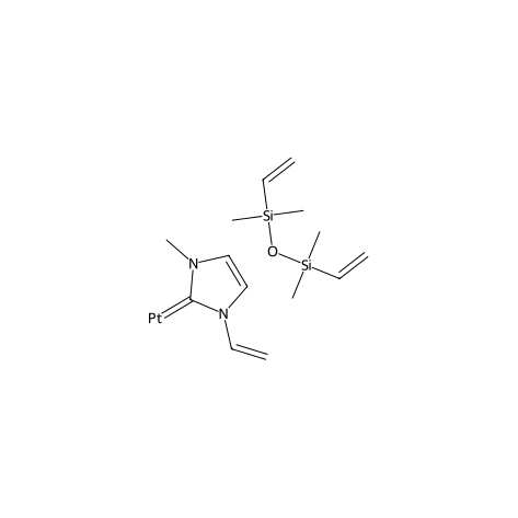 C=C[Si](C)(C)O[Si](C)(C)C=C.C=Cn1ccn(C)[c]1=[Pt]